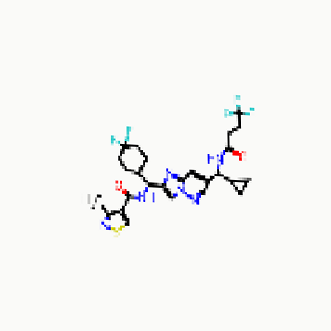 Cc1nscc1C(=O)N[C@H](c1cn2ncc(C(NC(=O)CCC(F)(F)F)C3CC3)cc2n1)C1CCC(F)(F)CC1